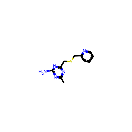 Cc1nc(N)nc(CSCc2ccccn2)n1